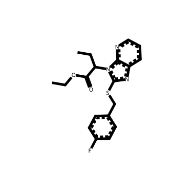 CCOC(=O)C(CC)n1c(SCc2ccc(F)cc2)nc2cccnc21